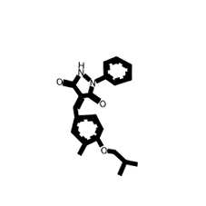 Cc1cc(/C=C2/C(=O)NN(c3ccccc3)C2=O)ccc1OCC(C)C